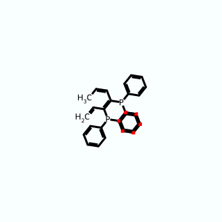 C=C/C(=C(\C=C/C)P(c1ccccc1)c1ccccc1)P(c1ccccc1)c1ccccc1